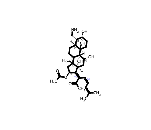 CC(=O)O[C@H]1C[C@@]2(C)[C@@H](C[C@@H](O)[C@H]3[C@@]4(C)CC[C@@H](O)[C@@H](CN)[C@@H]4CC[C@@]32C)/C1=C(\C=C/C=C(C)C)C(C)=O